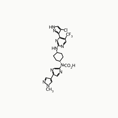 Cn1cc(-c2cnc(N(C(=O)O)[C@H]3CC[C@H](Nc4ncc(C(F)(F)F)c(-c5n[nH]cc5Cl)n4)CC3)cn2)cn1